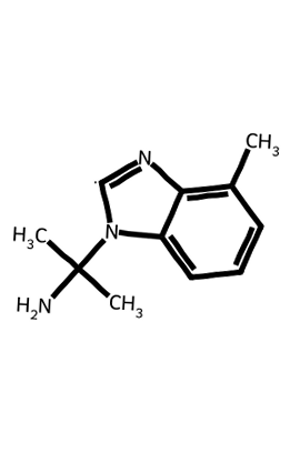 Cc1cccc2c1n[c]n2C(C)(C)N